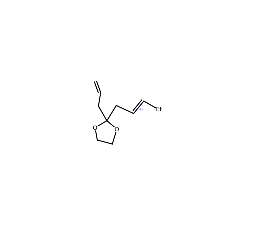 C=CCC1(C/C=C/CC)OCCO1